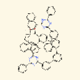 c1ccc(-c2nc(-c3cccc(-c4cccc(-c5cccc(-c6ccc7c(c6)-c6c(-c8cccc(-c9cccc(-c%10nc(-c%11ccccc%11)nc(-c%11cccc%12ccccc%11%12)n%10)c9)c8)cccc6C6CC8CC9CC7C89C6)c5)c4)c3)nc(-c3cccc4ccccc34)n2)cc1